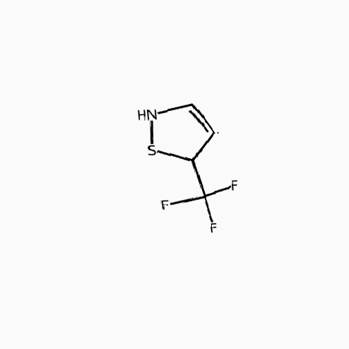 FC(F)(F)C1[C]=CNS1